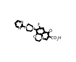 O=C(O)c1cn2c3c(c(N4CCN(c5ncccn5)CC4)c(F)cc3c1=O)OCC2